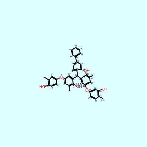 Cc1cc(Oc2cc(C)c(O)c(C(c3ccc(-c4ccccc4)cc3)c3cc(Oc4ccc(C)c(O)c4)cc(C)c3O)c2)ccc1O